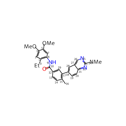 CCc1cc(OC)c(OC)cc1NC(=O)c1ccc(C)c(-c2ccc3nc(NC)ncc3c2)c1